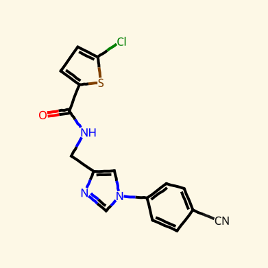 N#Cc1ccc(-n2cnc(CNC(=O)c3ccc(Cl)s3)c2)cc1